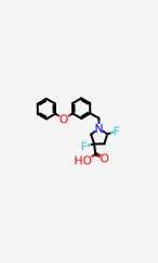 O=C(O)C1(F)CC(F)N(Cc2cccc(Oc3ccccc3)c2)C1